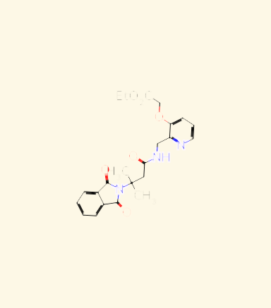 CCOC(=O)COc1cccnc1CNC(=O)CC(C)(C)N1C(=O)c2ccccc2C1=O